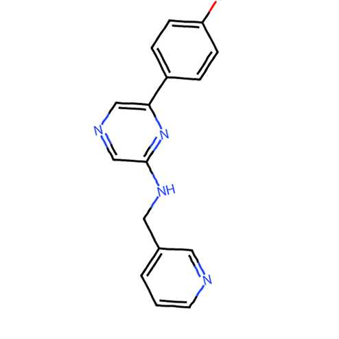 Oc1ccc(-c2cncc(NCc3cccnc3)n2)cc1